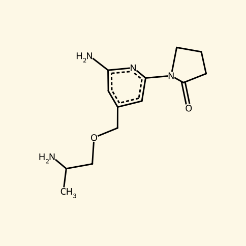 CC(N)COCc1cc(N)nc(N2CCCC2=O)c1